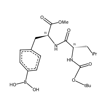 COC(=O)[C@H](Cc1ccc(B(O)O)cc1)NC(=O)[C@H](CC(C)C)NC(=O)OC(C)(C)C